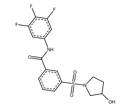 O=C(Nc1cc(F)c(F)c(F)c1)c1cccc(S(=O)(=O)N2CCC(O)C2)c1